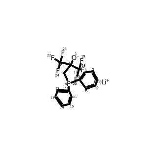 [Li+].[O-]C(CP(c1ccccc1)c1ccccc1)(C(F)(F)F)C(F)(F)F